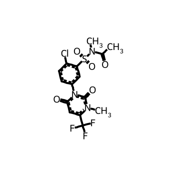 CC(=O)N(C)S(=O)(=O)c1cc(-n2c(=O)cc(C(F)(F)F)n(C)c2=O)ccc1Cl